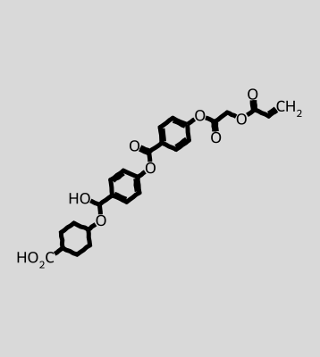 C=CC(=O)OCC(=O)Oc1ccc(C(=O)Oc2ccc(C(O)OC3CCC(C(=O)O)CC3)cc2)cc1